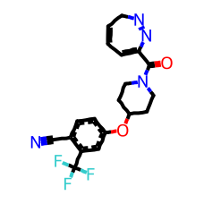 N#Cc1ccc(OC2CCN(C(=O)C3=CC=CCN=N3)CC2)cc1C(F)(F)F